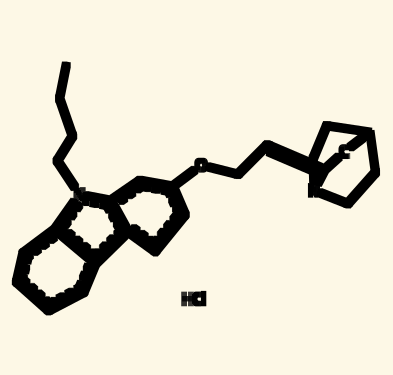 CCCCn1c2ccccc2c2ccc(OCC=C3CC4CCN3CC4)cc21.Cl